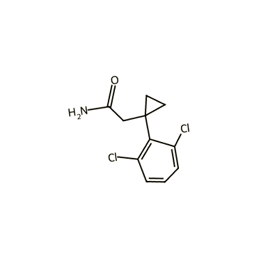 NC(=O)CC1(c2c(Cl)cccc2Cl)CC1